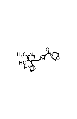 Cc1ncc(CN2CC(C(=O)N3CCOCC3)C2)c(-c2ncc[nH]2)c1O